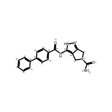 NC(=O)N1Cc2n[nH]c(NC(=O)c3ccc(-c4ccccc4)cc3)c2C1